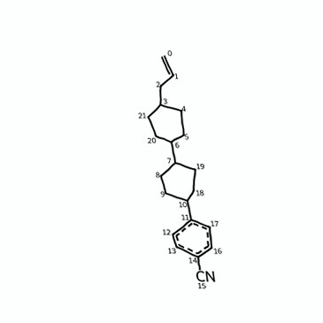 C=CCC1CCC(C2CCC(c3ccc(C#N)cc3)CC2)CC1